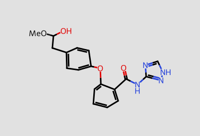 COC(O)Cc1ccc(Oc2ccccc2C(=O)Nc2nc[nH]n2)cc1